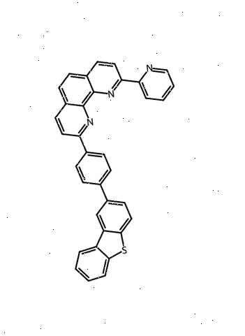 c1ccc(-c2ccc3ccc4ccc(-c5ccc(-c6ccc7sc8ccccc8c7c6)cc5)nc4c3n2)nc1